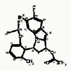 CC(=O)O[C@H]1C[C@@H](C2C(OC(F)F)=CC=CC2C)n2c1nc1cc(F)c(Br)cc12